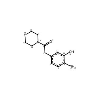 Nc1ccc(CC(=O)N2CCOCC2)cc1O